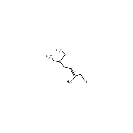 [Li][CH2]/C(C)=C/CN(CC)CC